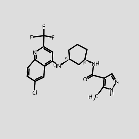 Cc1[nH]ncc1C(=O)N[C@@H]1CCC[C@H](Nc2cc(C(F)(F)F)nc3ccc(Cl)cc23)C1